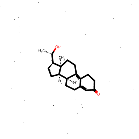 C[C@H](O)[C@@H]1CC[C@@H]2[C@@H]3CCC4=CC(=O)CCC4=C3CC[C@@]21C